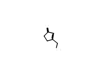 CCCCC1=CC(=O)CC1